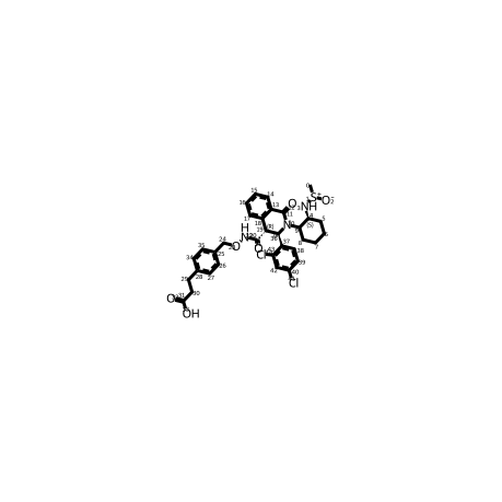 C[S+]([O-])N[C@H]1CCCCC1N1C(=O)c2ccccc2[C@@H](C(=O)NOCc2ccc(CCC(=O)O)cc2)[C@@H]1c1ccc(Cl)cc1Cl